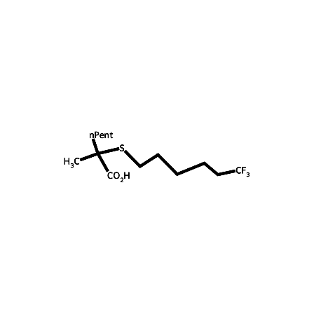 CCCCCC(C)(SCCCCCC(F)(F)F)C(=O)O